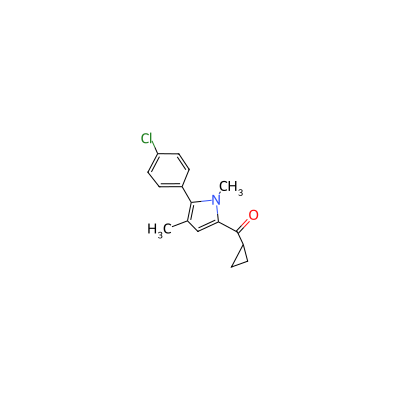 Cc1cc(C(=O)C2CC2)n(C)c1-c1ccc(Cl)cc1